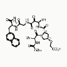 CCCC(NC(=O)[C@@H]1C[C@@H](OCC(=O)O)CN1C(=O)C(NC(=O)OCC(C)C)C(C)C)C(=O)C(=O)NCC(=O)NC(Cc1ccc2ccccc2c1)C(N)=O